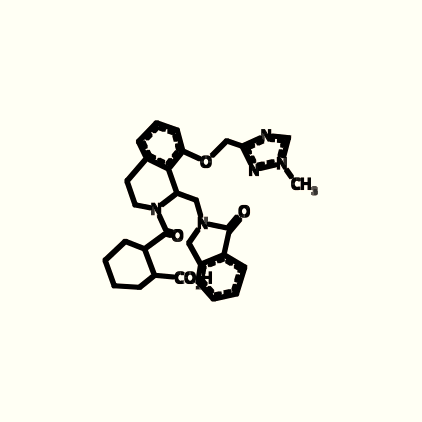 Cn1cnc(COc2cccc3c2C(CN2Cc4ccccc4C2=O)N(C(=O)C2CCCCC2C(=O)O)CC3)n1